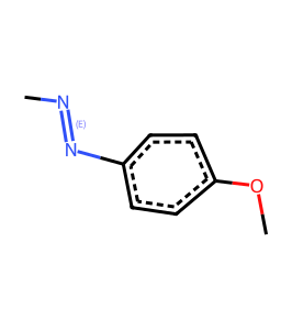 C/N=N/c1ccc(OC)cc1